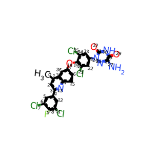 Cc1cc(-c2cc(Cl)c(F)c(Cl)c2)nc2ccc(Oc3c(Cl)cc(-n4nc(N)c(=O)[nH]c4=O)cc3Cl)cc12